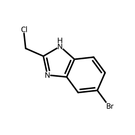 ClCc1nc2cc(Br)ccc2[nH]1